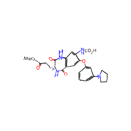 COC(=O)CC[C@H]1NC(=O)c2cc(Oc3cccc(N4CCCC4)c3)c(NC(=O)O)cc2NC1=O